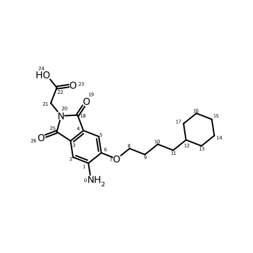 Nc1cc2c(cc1OCCCCC1CCCCC1)C(=O)N(CC(=O)O)C2=O